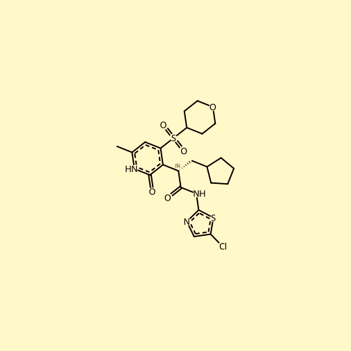 Cc1cc(S(=O)(=O)C2CCOCC2)c([C@H](CC2CCCC2)C(=O)Nc2ncc(Cl)s2)c(=O)[nH]1